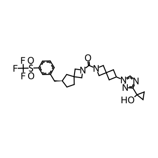 O=C(N1CC2(CC(n3cnc(C4(O)CC4)n3)C2)C1)N1CC2(CC[C@@H](Cc3cccc(S(=O)(=O)C(F)(F)F)c3)C2)C1